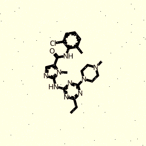 CCc1nc(Nc2ncc(C(=O)Nc3c(C)cccc3Cl)n2C)nc(N2CCN(C)CC2)n1